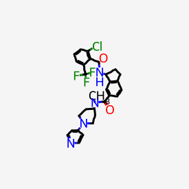 CN(C(=O)c1ccc2c(c1)C(NC(=O)c1c(Cl)cccc1C(F)(F)F)CC2)C1CCN(c2ccncc2)CC1